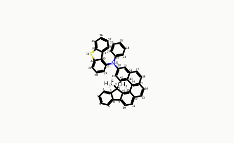 CC1(C)c2ccccc2-c2ccc3ccc4ccc5cc(N(c6ccccc6)c6cccc7sc8ccccc8c67)ccc5c4c3c21